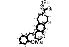 COc1ccccc1CN1CCOc2cc3c(cc21)CCN(C(=O)OC(C)(C)C)CC3